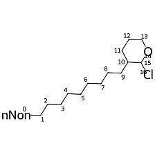 CCCCCCCCCCCCCCCCCCC1CCCOC1Cl